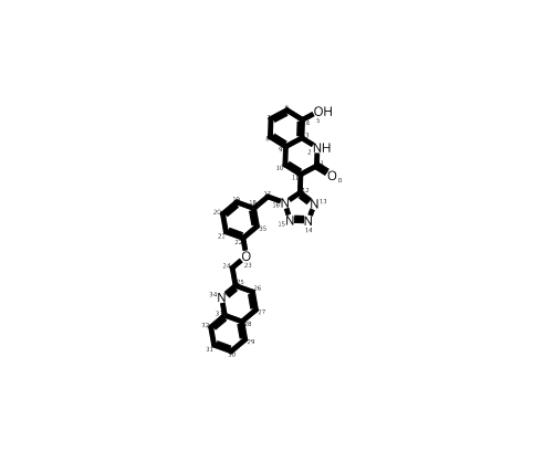 O=c1[nH]c2c(O)cccc2cc1-c1nnnn1Cc1cccc(OCc2ccc3ccccc3n2)c1